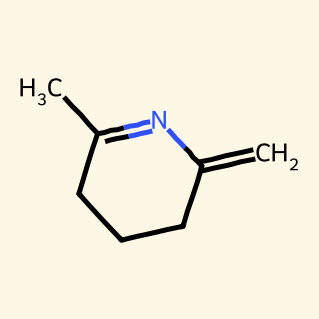 C=C1CCCC(C)=N1